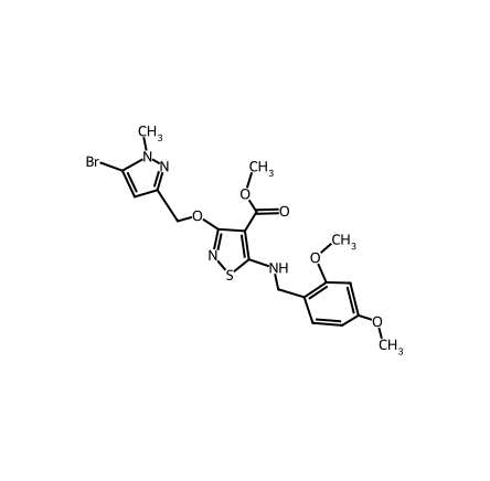 COC(=O)c1c(OCc2cc(Br)n(C)n2)nsc1NCc1ccc(OC)cc1OC